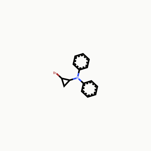 BrC1CC1N(c1ccccc1)c1ccccc1